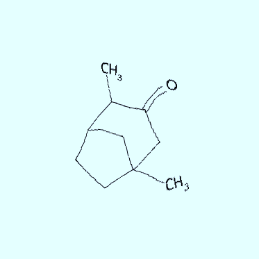 CC1C(=O)CC2(C)CCC1C2